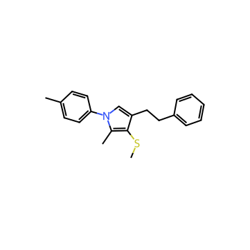 CSc1c(CCc2ccccc2)cn(-c2ccc(C)cc2)c1C